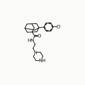 O=C(NCCN1CCNCC1)C12CC3CC(C1)CC(c1ccc(Cl)cc1)(C3)C2